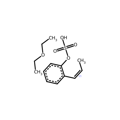 C/C=C\c1ccccc1OS(=O)(=O)O.CCOCC